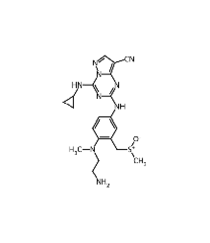 CN(CCN)c1ccc(Nc2nc(NC3CC3)n3ncc(C#N)c3n2)cc1C[S+](C)[O-]